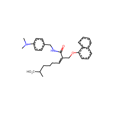 CC(CCCC=C(COc1cccc2ccccc12)C(=O)NCc1ccc(N(C)C)cc1)C(=O)O